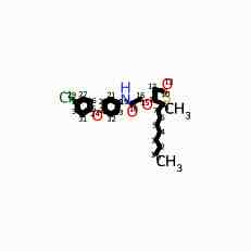 CCCCCCCCC1(C)SC(=O)C=C1OCC(=O)Nc1ccc(Oc2ccc(Cl)cc2)cc1